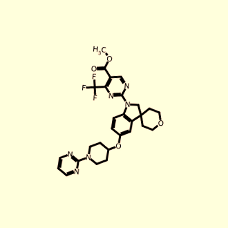 COC(=O)c1cnc(N2CC3(CCOCC3)c3cc(OC4CCN(c5ncccn5)CC4)ccc32)nc1C(F)(F)F